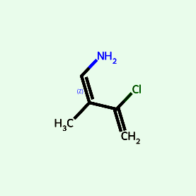 C=C(Cl)/C(C)=C\N